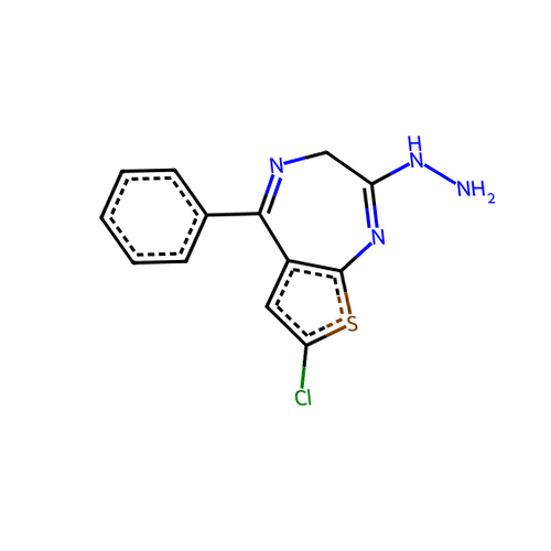 NNC1=Nc2sc(Cl)cc2C(c2ccccc2)=NC1